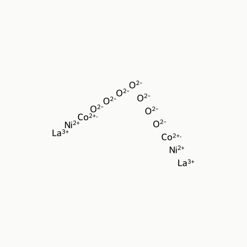 [Co+2].[Co+2].[La+3].[La+3].[Ni+2].[Ni+2].[O-2].[O-2].[O-2].[O-2].[O-2].[O-2].[O-2]